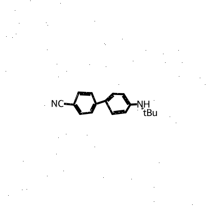 CC(C)(C)Nc1ccc(-c2ccc(C#N)cc2)cc1